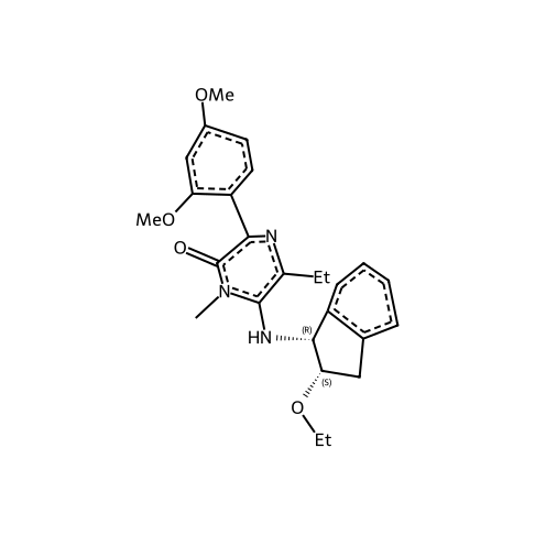 CCO[C@H]1Cc2ccccc2[C@H]1Nc1c(CC)nc(-c2ccc(OC)cc2OC)c(=O)n1C